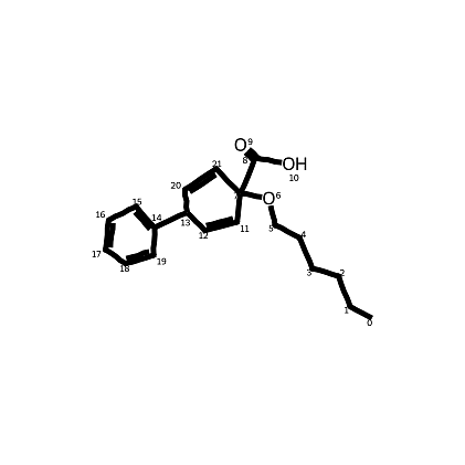 CCCCCCOC1(C(=O)O)C=CC(c2ccccc2)C=C1